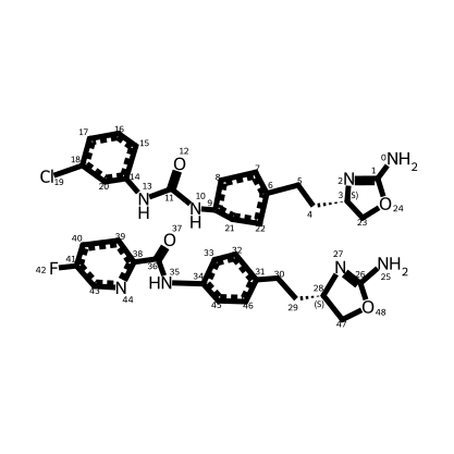 NC1=N[C@@H](CCc2ccc(NC(=O)Nc3cccc(Cl)c3)cc2)CO1.NC1=N[C@@H](CCc2ccc(NC(=O)c3ccc(F)cn3)cc2)CO1